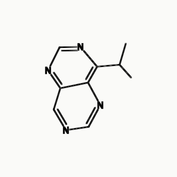 CC(C)c1ncnc2cncnc12